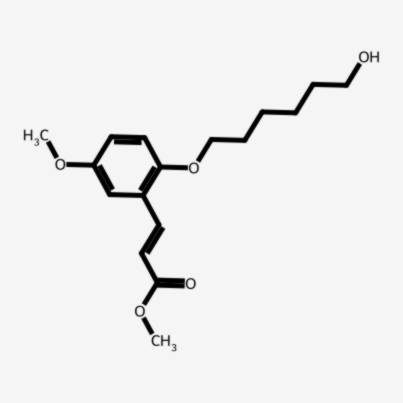 COC(=O)C=Cc1cc(OC)ccc1OCCCCCCO